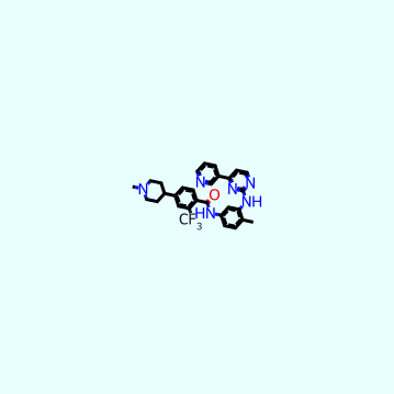 Cc1ccc(NC(=O)c2ccc(C3CCN(C)CC3)cc2C(F)(F)F)cc1Nc1nccc(-c2cccnc2)n1